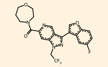 O=C(c1cc2c(cn1)c(-c1coc3ccc(F)cc13)nn2CC(F)(F)F)N1CCCOCC1